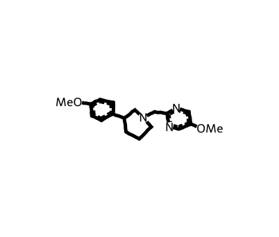 COc1ccc(C2CCCN(Cc3ncc(OC)cn3)C2)cc1